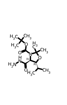 CC(C)[C@H]1OC(C)(C)N(C(=O)OC(C)(C)C)[C@@H]1C(=O)NN